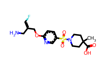 CC1(C(=O)O)CCN(S(=O)(=O)c2ccc(OC/C(=C\F)CN)nc2)CC1